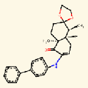 C[C@H]1[C@@H]2CC=C(Nc3ccc(-c4ccccc4)cc3)C(=O)[C@@]2(C)CCC12OCCO2